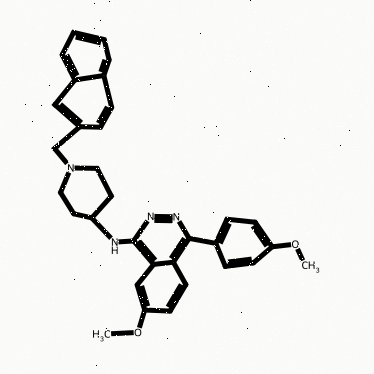 COc1ccc(-c2nnc(NC3CCN(Cc4ccc5ccccc5c4)CC3)c3cc(OC)ccc23)cc1